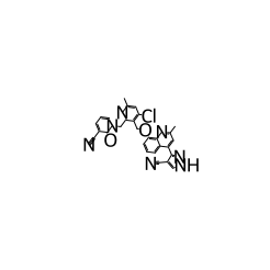 Cc1cc(Cl)c(COc2cccc3c(-c4n[nH]cc4C#N)cc(C)nc23)c(Cn2cccc(C#N)c2=O)n1